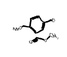 COC=O.COc1ccc(Cl)cc1